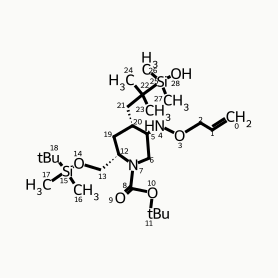 C=CCON[C@H]1CN(C(=O)OC(C)(C)C)[C@H](CO[Si](C)(C)C(C)(C)C)C[C@@H]1CC(C)(C)[Si](C)(C)O